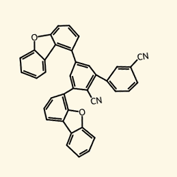 N#Cc1cccc(-c2cc(-c3cccc4oc5ccccc5c34)cc(-c3cccc4c3oc3ccccc34)c2C#N)c1